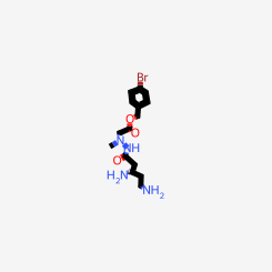 CN(CC(=O)OCc1ccc(Br)cc1)NC(=O)C[C@@H](N)CCN